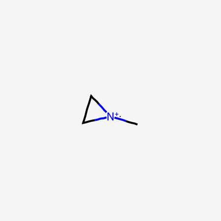 C[N+]1CC1